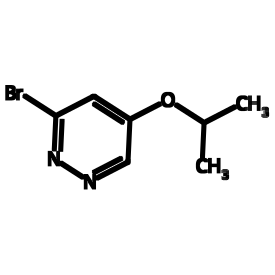 CC(C)Oc1cnnc(Br)c1